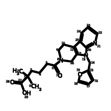 CC(C)(CCCC(=O)N1CCc2c(n(Cc3ccco3)c3ncccc23)C1)C(=O)O